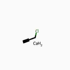 C#CCCl.[CaH2]